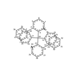 c1ccc(-c2cccnc2C(c2ccccc2)(c2ccccc2)c2ncccc2-c2ccccc2)cc1